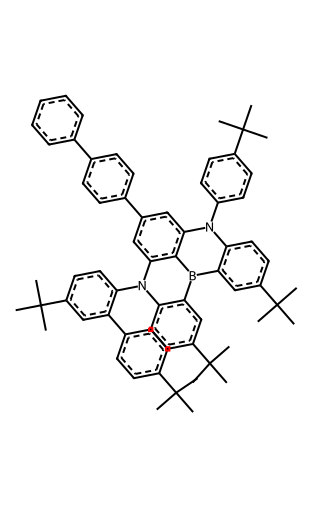 CC(C)(C)c1ccc(-c2cc(C(C)(C)C)ccc2N2c3ccc(C(C)(C)C)cc3B3c4cc(C(C)(C)C)ccc4N(c4ccc(C(C)(C)C)cc4)c4cc(-c5ccc(-c6ccccc6)cc5)cc2c43)cc1